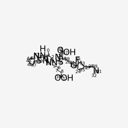 Cc1cc(N(CCCCC(=O)O)c2nc(C(=O)O)c(CCCOc3ccc(C#CCN(C)C)cc3F)s2)nnc1Nc1nc2ccccc2s1